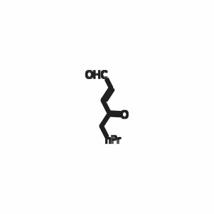 CCCCC(=O)C=CC=O